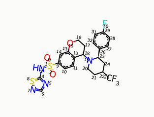 O=S(=O)(Nc1ncns1)c1ccc2c(c1)OCCC2N1CC[C@H](C(F)(F)F)C[C@@H]1c1ccc(F)cc1